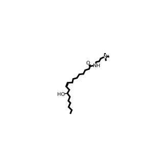 CCCCCC[C@@H](O)C/C=C\CCCCCCCC(=O)NCCC[N+](C)(C)C